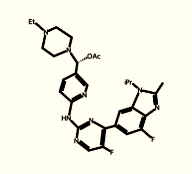 CCN1CCN([C@H](OC(C)=O)c2ccc(Nc3ncc(F)c(-c4cc(F)c5nc(C)n(C(C)C)c5c4)n3)nc2)CC1